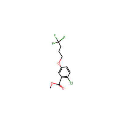 COC(=O)c1cc(OCCCC(F)(F)F)ccc1Cl